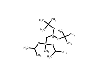 CC(C)O[Si](C)(C[SiH](OC(C)(C)C)OC(C)(C)C)OC(C)C